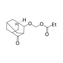 CCC(=O)OCOC1C2CC3CC(C[C@H]1C3)C2=O